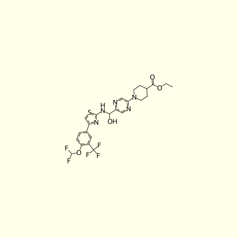 CCOC(=O)C1CCN(c2cnc(C(O)Nc3nc(-c4ccc(OC(F)F)c(C(F)(F)F)c4)cs3)cn2)CC1